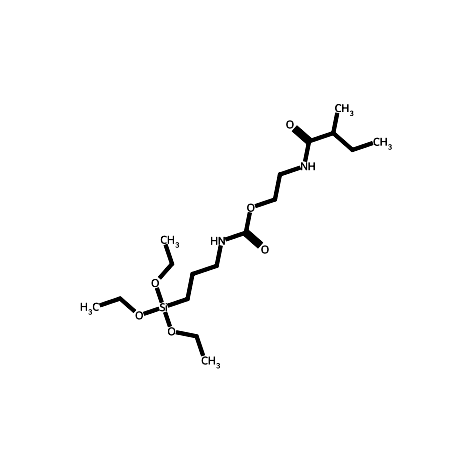 CCO[Si](CCCNC(=O)OCCNC(=O)C(C)CC)(OCC)OCC